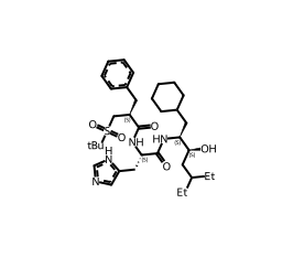 CCC(CC)C[C@H](O)[C@H](CC1CCCCC1)NC(=O)[C@H](Cc1cnc[nH]1)NC(=O)[C@H](Cc1ccccc1)CS(=O)(=O)C(C)(C)C